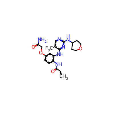 C=CC(=O)Nc1ccc(OCC(N)=O)cc1Nc1nc(NC2CCOCC2)ncc1C(F)(F)F